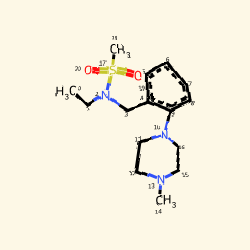 CCN(Cc1ccccc1N1CCN(C)CC1)S(C)(=O)=O